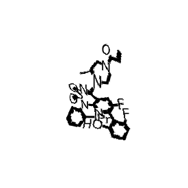 C=CC(=O)N1CCN(C2=NS(=O)(=O)N(c3ccccc3C(C)C)c3nc(-c4c(O)cccc4F)c(F)cc32)[C@@H](C)C1